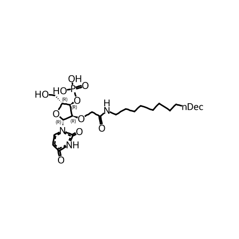 CCCCCCCCCCCCCCCCCCNC(=O)CO[C@@H]1[C@H](OP(=O)(O)O)[C@@H](CO)O[C@H]1n1ccc(=O)[nH]c1=O